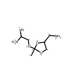 CCCC(N)COC1(C)OCC(CN)O1